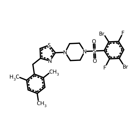 Cc1cc(C)c(Cc2csc(N3CCN(S(=O)(=O)c4c(F)c(Br)cc(F)c4Br)CC3)n2)c(C)c1